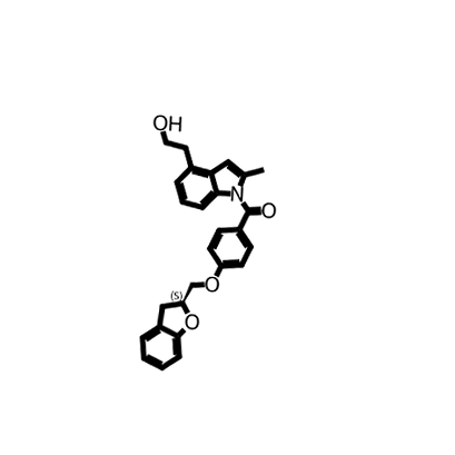 Cc1cc2c(CCO)cccc2n1C(=O)c1ccc(OC[C@@H]2Cc3ccccc3O2)cc1